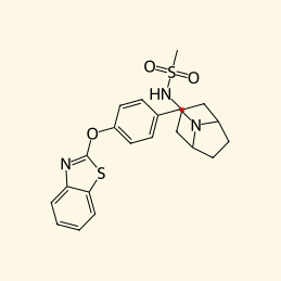 CS(=O)(=O)NC1CC2CCC(C1)N2Cc1ccc(Oc2nc3ccccc3s2)cc1